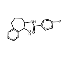 O=C(NC1CCCc2ccccc2C1O)c1ccc(F)cc1